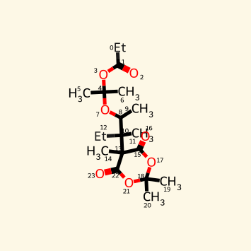 CCC(=O)OC(C)(C)OC(C)C(C)(CC)C1(C)C(=O)OC(C)(C)OC1=O